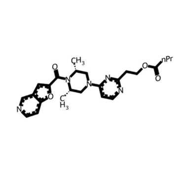 CCCC(=O)OCCc1nccc(N2C[C@@H](C)N(C(=O)c3cc4cnccc4o3)[C@@H](C)C2)n1